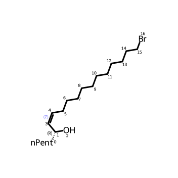 CCCCC[C@@H](O)/C=C\CCCCCCCCCCCBr